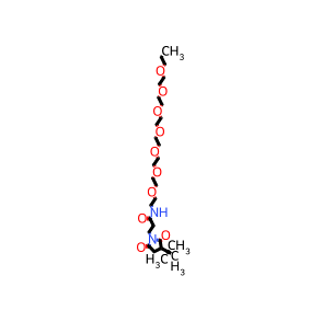 CCCOCCOCCOCCOCCOCCOCCOCCNC(=O)CCN1C(=O)CC(C(C)(C)C)C1=O